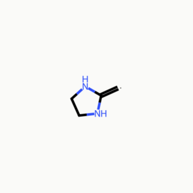 [CH]=C1NCCN1